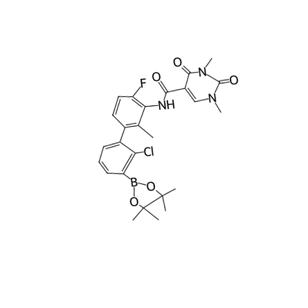 Cc1c(-c2cccc(B3OC(C)(C)C(C)(C)O3)c2Cl)ccc(F)c1NC(=O)c1cn(C)c(=O)n(C)c1=O